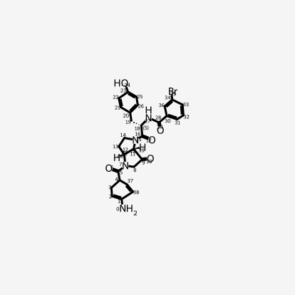 NC1=CCC(C(=O)N2CC(=O)[C@@H]3[C@H]2CCN3C(=O)[C@H](Cc2ccc(O)cc2)NC(=O)c2cccc(Br)c2)C=C1